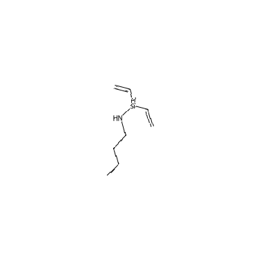 C=C[SiH](C=C)NCCCC